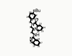 CCCCc1ccc(CN(CCCNc2nsc3ccccc23)C(=O)c2ccccn2)cc1